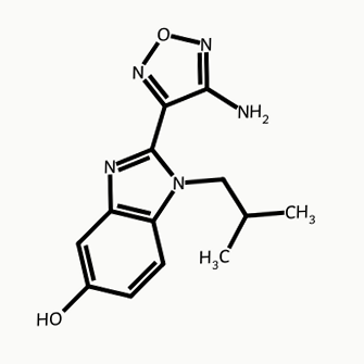 CC(C)Cn1c(-c2nonc2N)nc2cc(O)ccc21